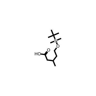 CC(CCO[Si](C)(C)C(C)(C)C)CC(=O)O